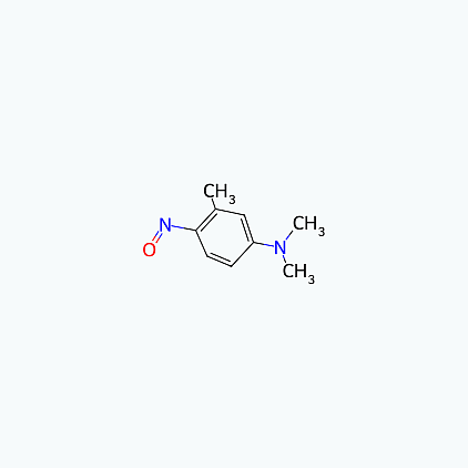 Cc1cc(N(C)C)ccc1N=O